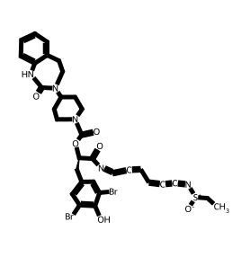 CC[S+]([O-])N=C=C=CC=C=C=NC(=O)[C@@H](Cc1cc(Br)c(O)c(Br)c1)OC(=O)N1CCC(N2CCc3ccccc3NC2=O)CC1